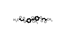 CC(=O)CC(=O)Oc1ccc(C(C)(C)c2ccc(OC(=O)CC(C)=O)cc2)cc1